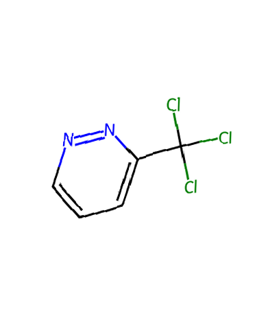 ClC(Cl)(Cl)c1cccnn1